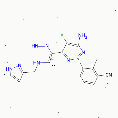 Cc1c(C#N)cccc1-c1nc(N)c(F)c(/C(=C/NCc2cc[nH]n2)N=N)n1